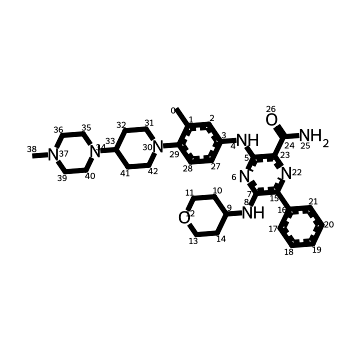 Cc1cc(Nc2nc(NC3CCOCC3)c(-c3ccccc3)nc2C(N)=O)ccc1N1CCC(N2CCN(C)CC2)CC1